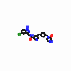 O=C(NCc1n[nH]c2ccc(Cl)cc12)c1cncc(Cc2ccc(CN3CCNCC3=O)cc2)c1